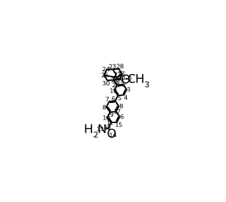 COc1ccc(-c2ccc3cc(C(N)=O)ccc3c2)cc1C12CC3CC(CC(C3)C1)C2